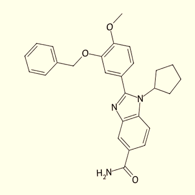 COc1ccc(-c2nc3cc(C(N)=O)ccc3n2C2CCCC2)cc1OCc1ccccc1